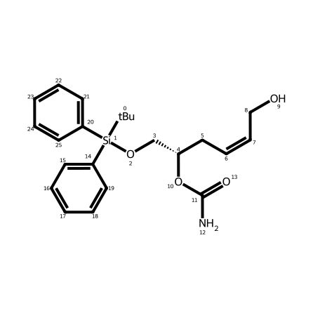 CC(C)(C)[Si](OC[C@H](C/C=C\CO)OC(N)=O)(c1ccccc1)c1ccccc1